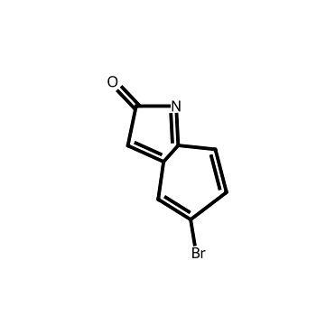 O=C1C=c2cc(Br)ccc2=N1